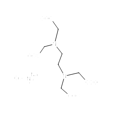 O=C([O-])CN(CCN(CC(=O)[O-])CC(=O)[O-])CC(=O)[O-].[Cu+2].[Na+].[Na+]